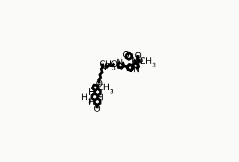 CN(CCCCCO[C@H]1CC[C@H]2C3CC[C@H]4CC(=O)CC[C@]4(C)[C@H]3CC[C@]12C)CCCOc1ccc(-c2ccc3ncc4c(c3c2)n(C2CCOCC2)c(=O)n4C)cn1